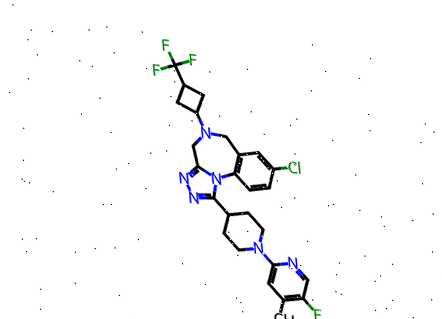 Cc1cc(N2CCC(c3nnc4n3-c3ccc(Cl)cc3CN(C3CC(C(F)(F)F)C3)C4)CC2)ncc1F